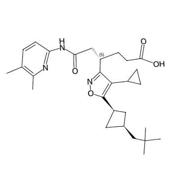 Cc1ccc(NC(=O)C[C@H](CCC(=O)O)c2noc([C@H]3C[C@@H](CC(C)(C)C)C3)c2C2CC2)nc1C